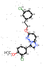 COc1ccc(-c2cnc3ccc(OCCc4cccc(Cl)c4)nn23)cc1Cl